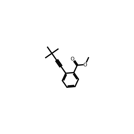 COC(=O)c1ccccc1C#CC(C)(C)C